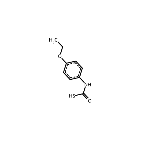 CCOc1ccc(NC(=O)S)cc1